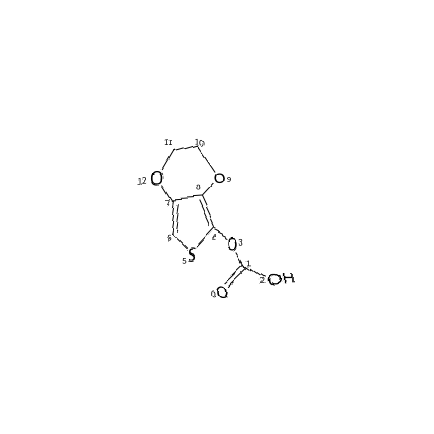 O=C(O)Oc1scc2c1OCCO2